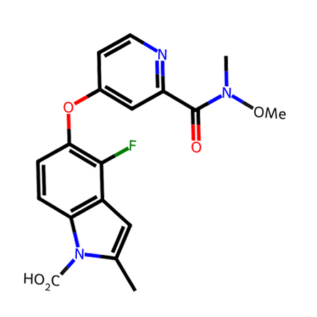 CON(C)C(=O)c1cc(Oc2ccc3c(cc(C)n3C(=O)O)c2F)ccn1